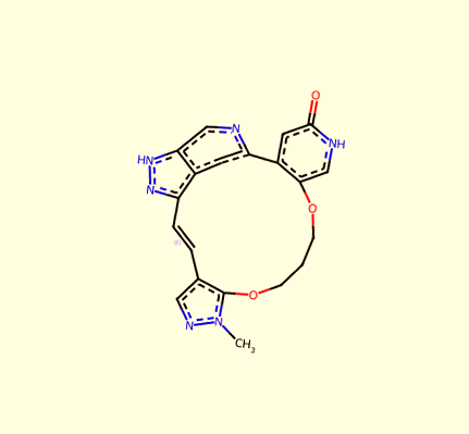 Cn1ncc2c1OCCCOc1c[nH]c(=O)cc1-c1cc3c(n[nH]c3cn1)/C=C/2